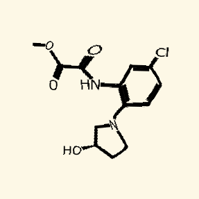 COC(=O)C(=O)Nc1cc(Cl)ccc1N1CC[C@@H](O)C1